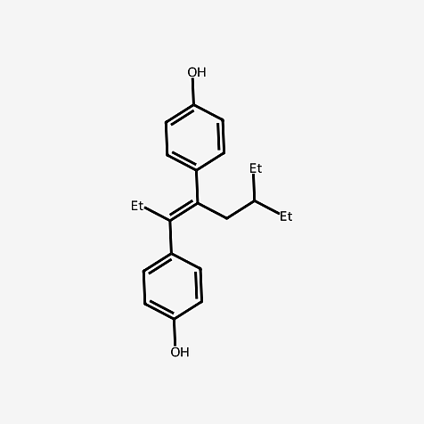 CC/C(=C(/CC(CC)CC)c1ccc(O)cc1)c1ccc(O)cc1